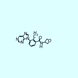 Cc1c(C(=O)NC2COC2)cccc1-n1cnc2cncnc21